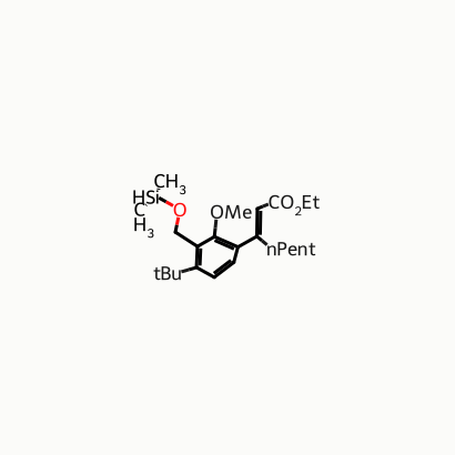 CCCCCC(=CC(=O)OCC)c1ccc(C(C)(C)C)c(CO[SiH](C)C)c1OC